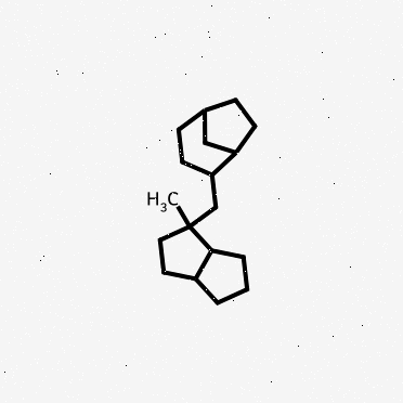 CC1(CC2CCC3CCC2C3)CCC2CCCC21